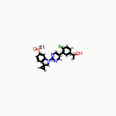 CC[S+]([O-])c1ccc2c(c1)N(c1ncc(-c3cc(C(C)O)ccc3F)cn1)CC21CC1